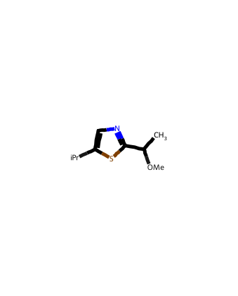 COC(C)c1ncc(C(C)C)s1